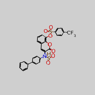 O=c1oc2c(OS(=O)(=O)c3ccc(C(F)(F)F)cc3)cccc2cc1N(c1ccc(-c2ccccc2)cc1)[SH](=O)=O